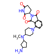 CN(C1CCN(c2cccc3c2C(=O)N(C2CCC(=O)NC2=O)C3=O)CC1)C1CCC(N)C1